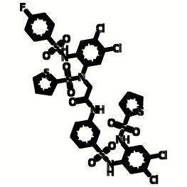 O=C(CN(c1cc(Cl)c(Cl)cc1NS(=O)(=O)c1ccc(F)cc1)S(=O)(=O)c1cccs1)Nc1cccc(S(=O)(=O)Nc2cc(Cl)c(Cl)cc2NS(=O)(=O)c2cccs2)c1